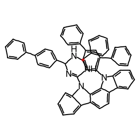 c1ccc(-c2ccc(C3N=C(n4c5ccccc5c5ccc6c7ccccc7n(-c7ccc(-c8ccccc8)cc7-c7ccccc7)c6c54)NC(c4ccccc4)N3)cc2)cc1